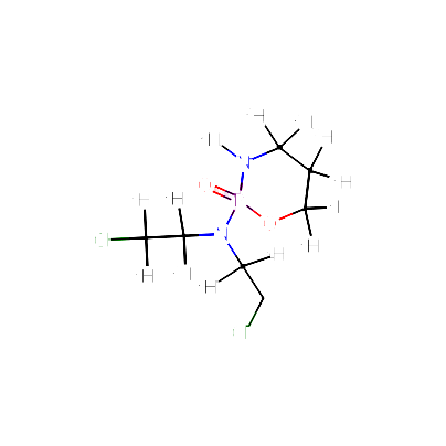 [2H]N1C([2H])([2H])C([2H])([2H])C([2H])([2H])OP1(=O)N(C([2H])([2H])CCl)C([2H])([2H])C([2H])([2H])Cl